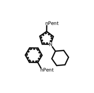 CCCCCc1ccccc1.CCCCCc1ccn(C2CCCCC2)c1